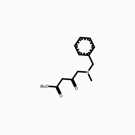 CC(C)COC(=O)CC(=O)CN(C)Cc1ccccc1